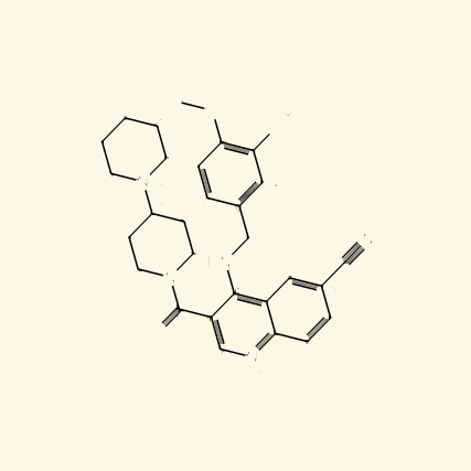 COc1ccc(CNc2c(C(=O)N3CCC(N4CCCCC4)CC3)cnc3ccc(C#N)cc23)cc1Cl